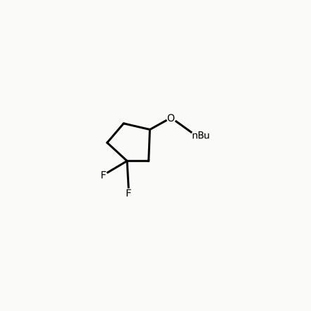 CCCCOC1CCC(F)(F)C1